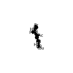 CC(=O)c1nn(CC(=O)N2C[C@H](F)C[C@H]2C(=O)Nc2cccc(Br)n2)c2ccc(-c3cnc(CNC(=O)OC(C)(C)C)nc3)cc12